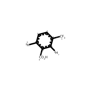 [2H]c1ccc(C(F)(F)F)c([2H])c1C(=O)O